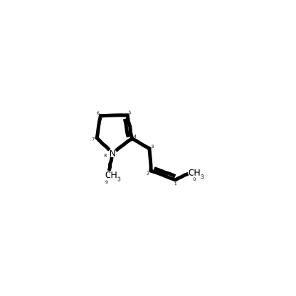 C/C=C\CC1=CCCN1C